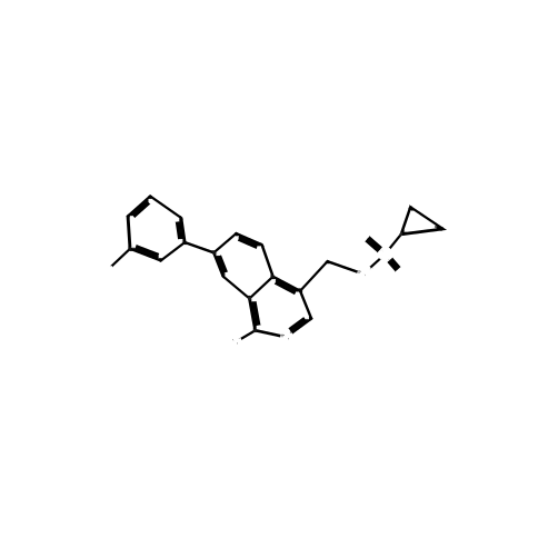 Nc1ncc(CNS(=O)(=O)C2CC2)c2ccc(-c3cccc(F)c3)cc12